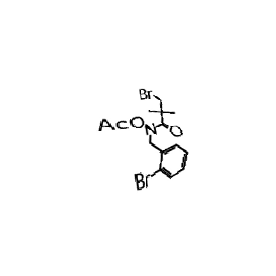 CC(=O)ON(Cc1ccccc1Br)C(=O)C(C)(C)CBr